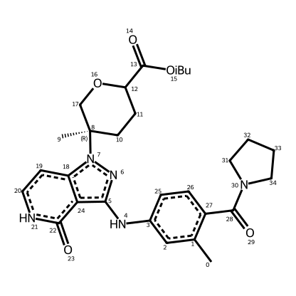 Cc1cc(Nc2nn([C@]3(C)CCC(C(=O)OCC(C)C)OC3)c3cc[nH]c(=O)c23)ccc1C(=O)N1CCCC1